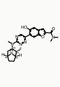 CN(C)C(=O)c1cc2cc(O)c(-c3cnc(N(C)[C@@H]4C[C@H]5CC[C@H](N5)[C@@H]4F)nn3)cc2o1